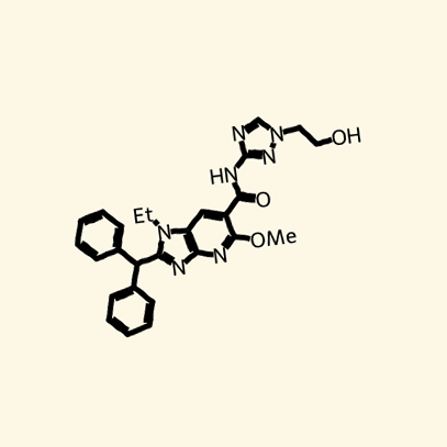 CCn1c(C(c2ccccc2)c2ccccc2)nc2nc(OC)c(C(=O)Nc3ncn(CCO)n3)cc21